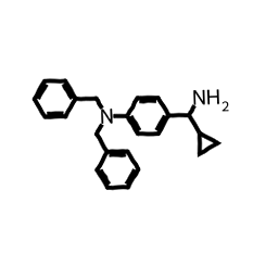 NC(c1ccc(N(Cc2ccccc2)Cc2ccccc2)cc1)C1CC1